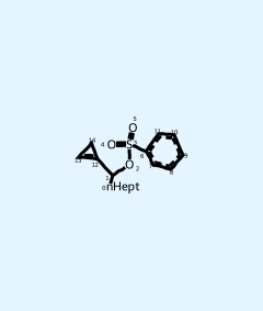 CCCCCCCC(OS(=O)(=O)c1ccccc1)C1=CC1